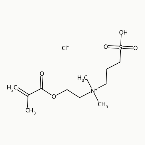 C=C(C)C(=O)OCC[N+](C)(C)CCCS(=O)(=O)O.[Cl-]